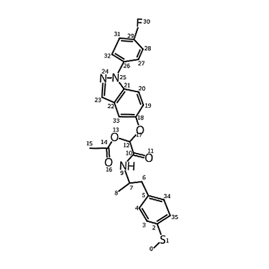 CSc1ccc(CC(C)NC(=O)C(OC(C)=O)Oc2ccc3c(cnn3-c3ccc(F)cc3)c2)cc1